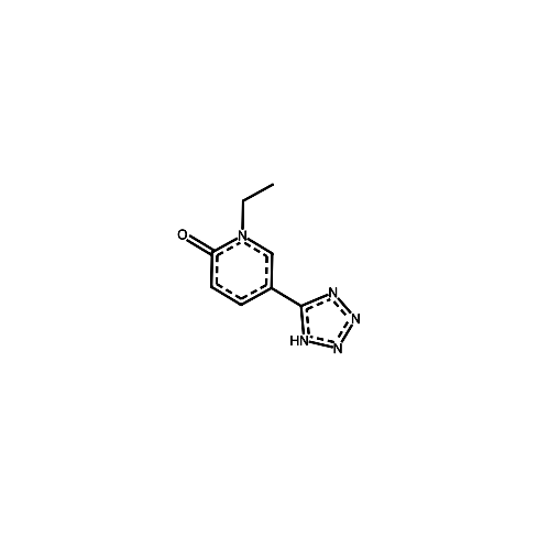 CCn1cc(-c2nnn[nH]2)ccc1=O